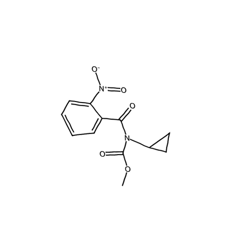 COC(=O)N(C(=O)c1ccccc1[N+](=O)[O-])C1CC1